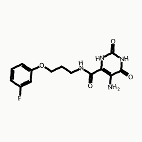 Nc1c(C(=O)NCCCOc2cccc(F)c2)[nH]c(=O)[nH]c1=O